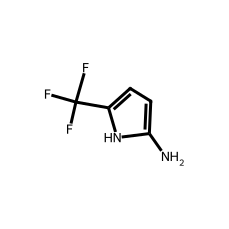 Nc1ccc(C(F)(F)F)[nH]1